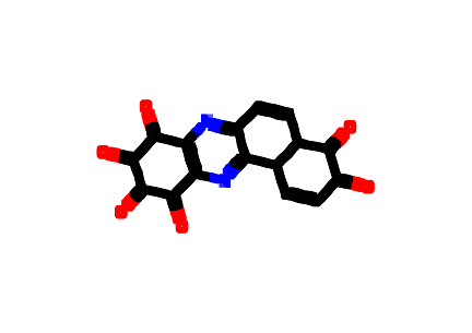 O=C1C=CC2c3nc4c(=O)c(=O)c(=O)c(=O)c4nc3C=CC2C1=O